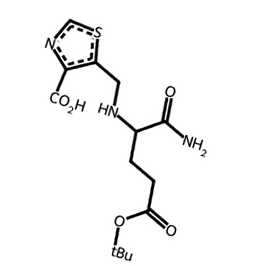 CC(C)(C)OC(=O)CCC(NCc1scnc1C(=O)O)C(N)=O